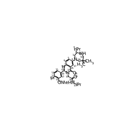 CCCC1CN(c2ccc3nc(-c4ccc(F)c(OC)c4)n(CC(=O)NC(C)C)c(=O)c3c2)CC(C)(C)CN1